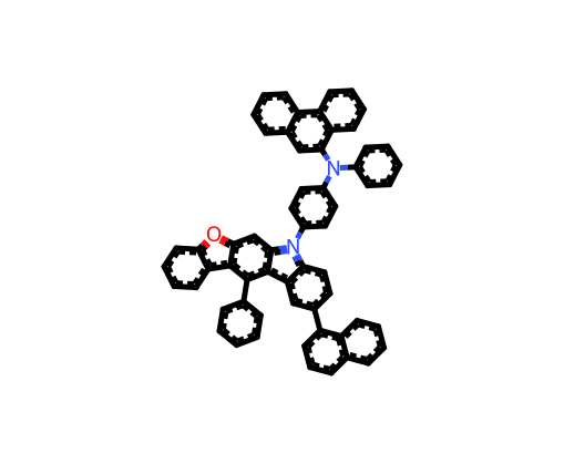 c1ccc(-c2c3c(cc4c2c2cc(-c5cccc6ccccc56)ccc2n4-c2ccc(N(c4ccccc4)c4cc5ccccc5c5ccccc45)cc2)oc2ccccc23)cc1